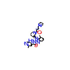 Cc1cc(C(=O)Nc2nc3cccc(C)c3n2[C@@H]2CCCCN(C(=O)/C=C/CN3CCCC3)C2)ccn1